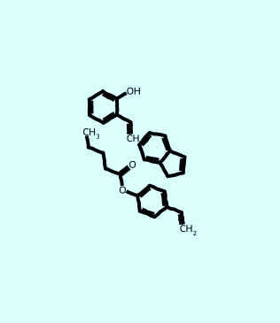 C1=Cc2ccccc2C1.C=Cc1ccc(OC(=O)CCCC)cc1.C=Cc1ccccc1O